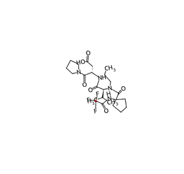 CCCN(C(=O)C1(NC(=O)C(F)(F)F)CCCC1)[C@H](C(=O)N[C@@H](CC(=O)O)C(=O)N1CCCC1)C(C)C